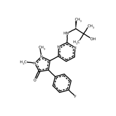 C[C@H](Nc1nccc(-c2c(-c3ccc(F)cc3)c(=O)n(C)n2C)n1)C(C)(C)O